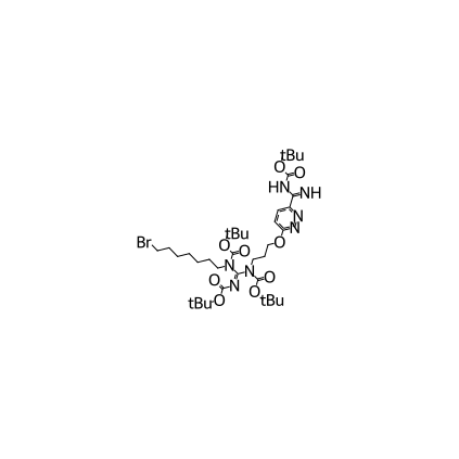 CC(C)(C)OC(=O)/N=C(\N(CCCCCCCBr)C(=O)OC(C)(C)C)N(CCCOc1ccc(C(=N)NC(=O)OC(C)(C)C)nn1)C(=O)OC(C)(C)C